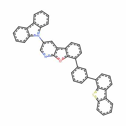 c1cc(-c2cccc3c2oc2ncc(-n4c5ccccc5c5ccccc54)cc23)cc(-c2cccc3c2sc2ccccc23)c1